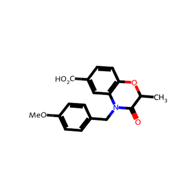 COc1ccc(CN2C(=O)C(C)Oc3ccc(C(=O)O)cc32)cc1